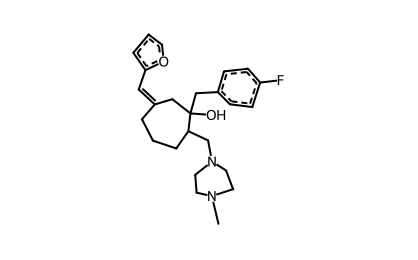 CN1CCN(CC2CCC/C(=C/c3ccco3)CC2(O)Cc2ccc(F)cc2)CC1